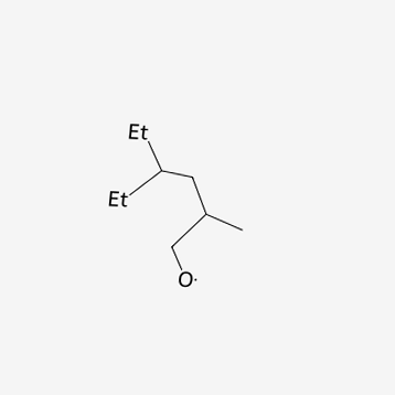 CCC(CC)CC(C)C[O]